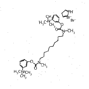 C1=CPCC1.CN(CCCCCCCCCCN(C)C(=O)Oc1cccc([N+](C)(C)C)c1)C(=O)Oc1cccc([N+](C)(C)C)c1.[Br-].[Br-]